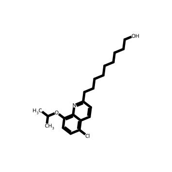 CC(C)Oc1ccc(Cl)c2ccc(CCCCCCCCCO)nc12